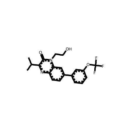 CC(C)c1nc2ccc(-c3cccc(OC(F)(F)F)c3)cc2n(CCO)c1=O